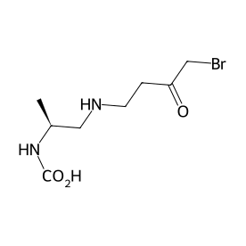 C[C@@H](CNCCC(=O)CBr)NC(=O)O